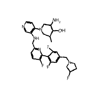 CC1CN(c2ccncc2NCc2ccc(F)c(-c3c(F)cc(CN4CCC(F)C4)cc3F)n2)CC(N)C1O